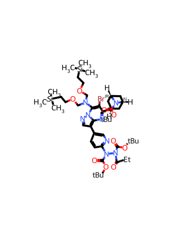 CCC(=O)N(C(=O)OC(C)(C)C)N(C(=O)OC(C)(C)C)c1ccc(-c2cnn3c(N(COCC[Si](C)(C)C)COCC[Si](C)(C)C)c(Br)c([C@H]4C[C@@H]5C[C@H](C4)N5C(=O)OC(C)(C)C)nc23)cn1